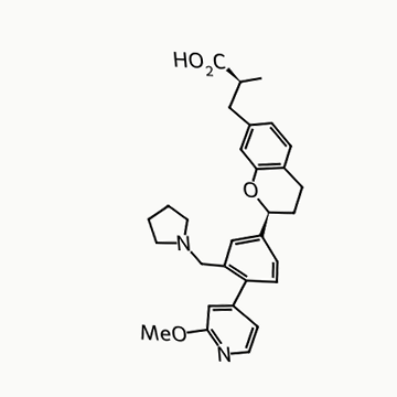 COc1cc(-c2ccc([C@@H]3CCc4ccc(C[C@H](C)C(=O)O)cc4O3)cc2CN2CCCC2)ccn1